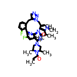 C=CC(=O)N1C(C)CN(c2nc(=O)n3c4nc(c(F)cc24)-c2c(F)cccc2Cc2cnnn2CC(=C/C)/C3=C(\N=C)C(C)C)CC1C